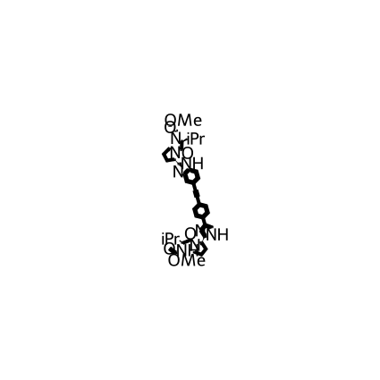 COO/C=N/[C@H](C(=O)N1CCC[C@H]1c1nc2cc(C#Cc3ccc(-c4c[nH]c([C@@H]5CCCN5C(=O)[C@H](NC(=O)OC)C(C)C)n4)cc3)ccc2[nH]1)C(C)C